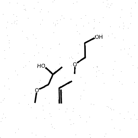 C=CC.COCC(C)O.COCCO